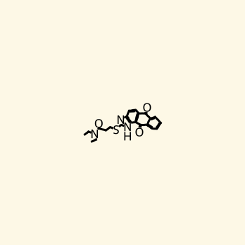 CCN(CC)C(=O)CCSc1nc2ccc3c(c2[nH]1)C(=O)c1ccccc1C3=O